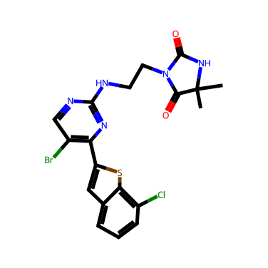 CC1(C)NC(=O)N(CCNc2ncc(Br)c(-c3cc4cccc(Cl)c4s3)n2)C1=O